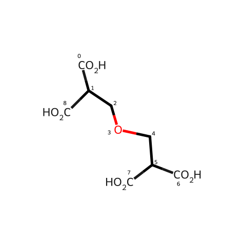 O=C(O)C(COCC(C(=O)O)C(=O)O)C(=O)O